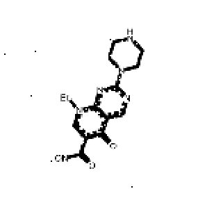 CCn1cc(C(=O)N=O)c(=O)c2cnc(N3CCNCC3)nc21